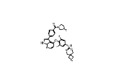 O=C(c1ccc(-c2c[nH]c3nccc(Oc4c(F)cc(NC5=NCC6(COC6)CO5)cc4F)c23)cc1)N1CCC(F)C1